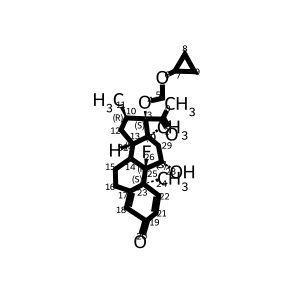 CC(=O)[C@]1(OCOC2CC2)[C@H](C)C[C@H]2C3CCC4=CC(=O)C=C[C@]4(C)[C@@]3(F)[C@@H](O)C[C@@]21C